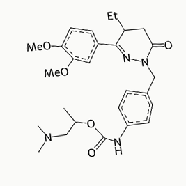 CCC1CC(=O)N(Cc2ccc(NC(=O)OC(C)CN(C)C)cc2)N=C1c1ccc(OC)c(OC)c1